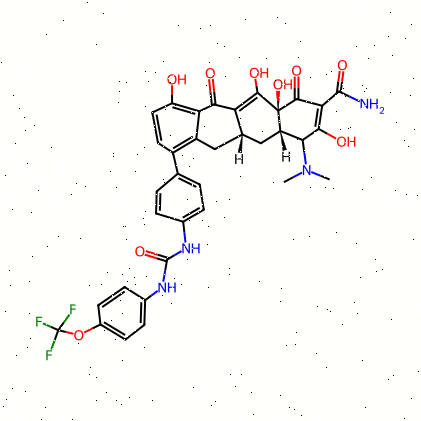 CN(C)C1C(O)=C(C(N)=O)C(=O)[C@@]2(O)C(O)=C3C(=O)c4c(O)ccc(-c5ccc(NC(=O)Nc6ccc(OC(F)(F)F)cc6)cc5)c4C[C@H]3C[C@@H]12